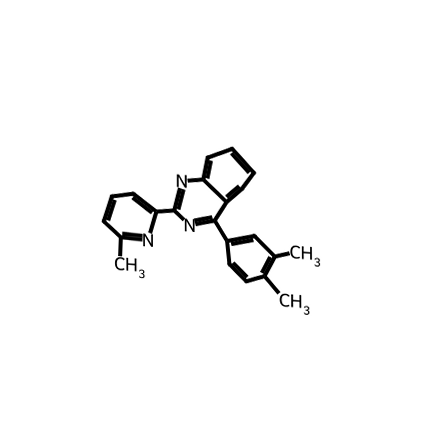 Cc1cccc(-c2nc(-c3ccc(C)c(C)c3)c3ccccc3n2)n1